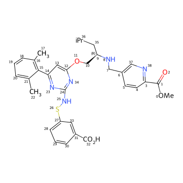 COC(=O)c1ccc(CN[C@@H](COc2cc(-c3c(C)cccc3C)nc(NSc3cccc(C(=O)O)c3)n2)CC(C)C)cn1